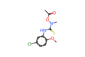 COc1ccc(Cl)cc1NC(=S)N(C)OC(C)=O